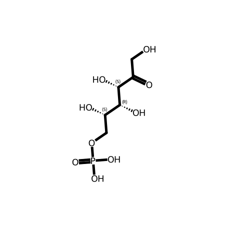 O=C(CO)[C@@H](O)[C@H](O)[C@@H](O)COP(=O)(O)O